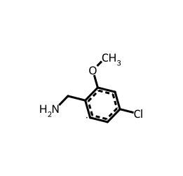 COc1cc(Cl)c[c]c1CN